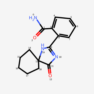 NC(=O)c1ccccc1C1=NC(=O)C2(CCCCC2)N1